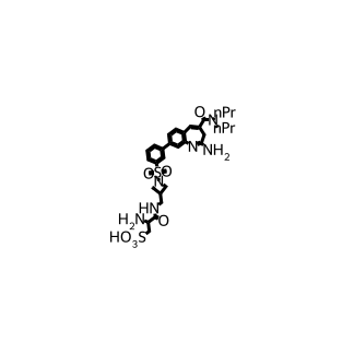 CCCN(CCC)C(=O)C1=Cc2ccc(-c3cccc(S(=O)(=O)N4CC(CNC(=O)C(N)CS(=O)(=O)O)C4)c3)cc2N=C(N)C1